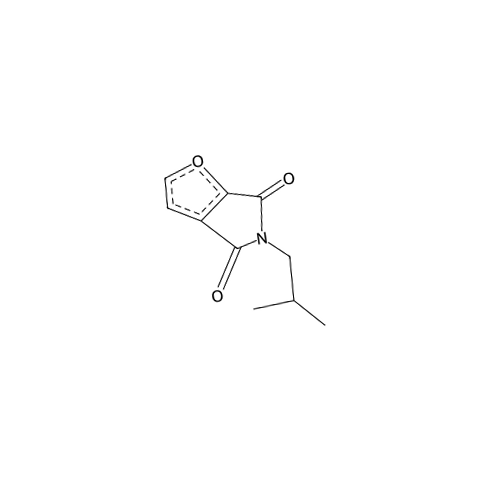 CC(C)CN1C(=O)c2ccoc2C1=O